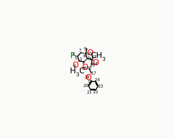 CO[C@@H]1C(=O)[C@@H](F)C[C@]2(CO2)[C@H]1[C@@]1(C)O[C@@H]1CCOc1ccccc1